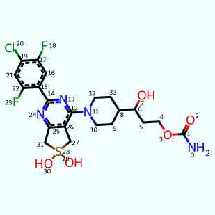 NC(=O)OCCC(O)C1CCN(c2nc(-c3cc(F)c(Cl)cc3F)nc3c2CS(O)(O)C3)CC1